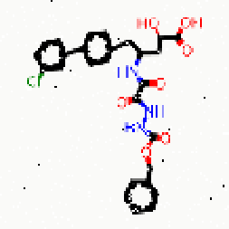 O=C(NNC(=O)C(=O)NC(Cc1ccc(-c2cccc(Cl)c2)cc1)C[C@@H](O)C(=O)O)OCc1ccccc1